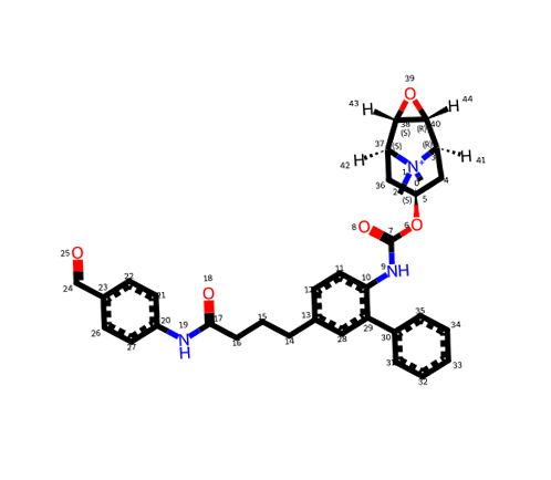 C[N+]1(C)[C@@H]2C[C@@H](OC(=O)Nc3ccc(CCCC(=O)Nc4ccc(C=O)cc4)cc3-c3ccccc3)C[C@H]1[C@@H]1O[C@@H]12